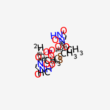 [2H]C[C@H]1O[C@@H](n2ccc(=O)[nH]c2=O)[C@@H](C)C1OP(OC[C@H]1O[C@@H](n2ccc(=O)[nH]c2=O)[C@@H](OC)C1C)OC1CSSC[C@H]1OCC#C